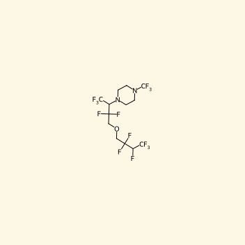 FC(C(F)(F)F)C(F)(F)COCC(F)(F)C(N1CCN(C(F)(F)F)CC1)C(F)(F)F